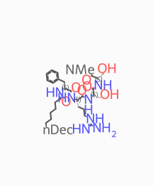 CCCCCCCCCCCCCCCC(=O)N[C@@H](Cc1ccccc1)C(=O)N[C@@H](CCCNC(=N)N)C(=O)N[C@@H](CO)C(=O)N[C@@H](CO)C(=O)NC